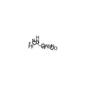 COc1ccc(CNc2ccc(Cc3c[nH]c4ncc(C(F)(F)F)cc34)cn2)cn1